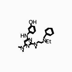 CCN(CCN(C)c1nc(Nc2cccc(O)c2)cc(N(C)C)n1)Cc1ccccc1